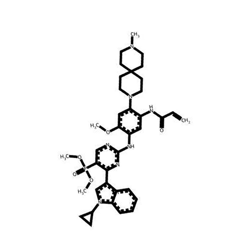 C=CC(=O)Nc1cc(Nc2ncc(P(=O)(OC)OC)c(-c3cn(C4CC4)c4ccccc34)n2)c(OC)cc1N1CCC2(CCN(C)CC2)CC1